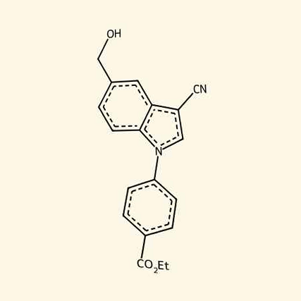 CCOC(=O)c1ccc(-n2cc(C#N)c3cc(CO)ccc32)cc1